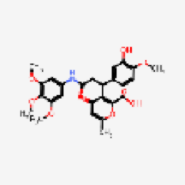 COc1ccc(C(CC(=O)Nc2cc(OC)c(OC)c(OC)c2)c2c(C(=O)O)oc(C)cc2=O)cc1O